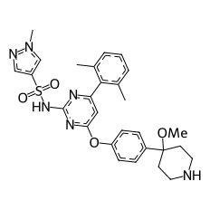 COC1(c2ccc(Oc3cc(-c4c(C)cccc4C)nc(NS(=O)(=O)c4cnn(C)c4)n3)cc2)CCNCC1